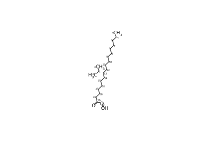 CCC.CCCCCCCCCCCCCCCCCC(=O)OO